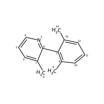 Cc1cccnc1-c1c(C)cccc1C